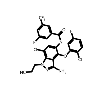 N#CCCn1nc(N)c2c(Oc3cc(F)ccc3Cl)c(NC(=O)c3cc(F)cc(C(F)(F)F)c3)cc(Cl)c21